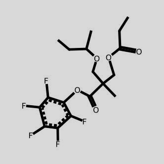 CCC(=O)OCC(C)(COC(C)CC)C(=O)Oc1c(F)c(F)c(F)c(F)c1F